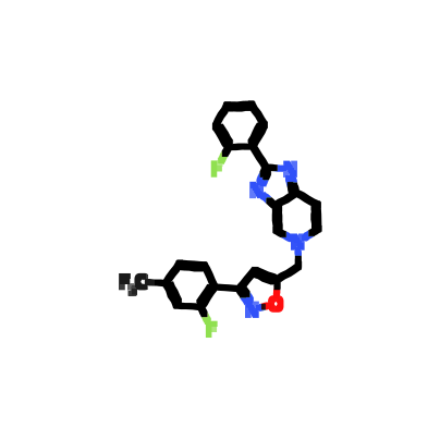 Fc1cc(C(F)(F)F)ccc1-c1cc(Cn2ccc3nc(-c4ccccc4F)nc-3c2)on1